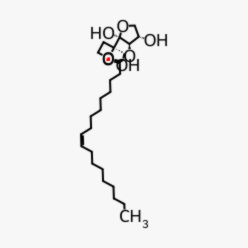 CCCCCCCC/C=C\CCCCCCCC(=O)O[C@@H]1[C@@H](O)CO[C@]1(O)[C@]1(CO)CCO1